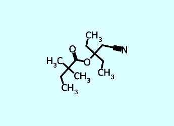 CCC(CC)(CC#N)OC(=O)C(C)(C)CC